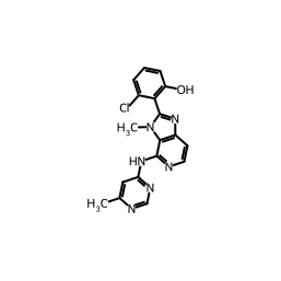 Cc1cc(Nc2nccc3nc(-c4c(O)cccc4Cl)n(C)c23)ncn1